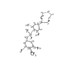 Fc1cc(OC(F)(F)c2c(F)cc(C3CCCCCC3)cc2F)cc(F)c1C(F)(F)F